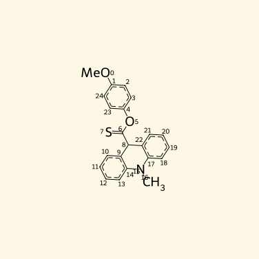 COc1ccc(OC(=S)C2c3ccccc3N(C)c3ccccc32)cc1